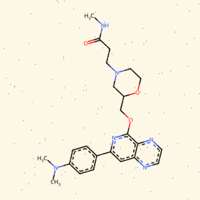 CNC(=O)CCN1CCOC(COc2nc(-c3ccc(N(C)C)cc3)cc3nccnc23)C1